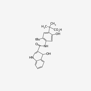 CC(C)(C)c1cc(C(C)(C)C(=O)O)c(O)cc1NC(=O)C1=CNc2ccccc2C1O